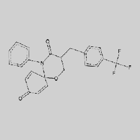 O=C1C=CC2(C=C1)OCC(Cc1ccc(C(F)(F)F)cc1)C(=O)N2c1ccccc1